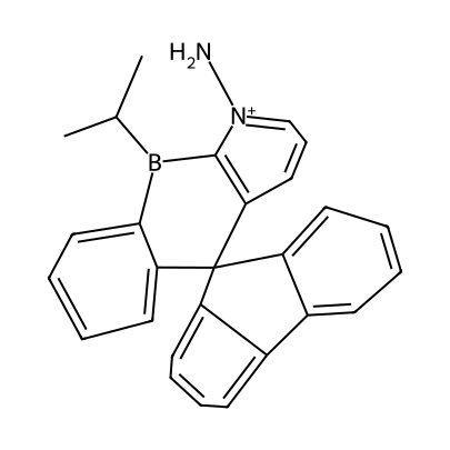 CC(C)B1c2ccccc2C2(c3ccccc3-c3ccccc32)c2ccc[n+](N)c21